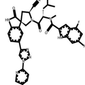 CC(C)C[C@@H](C(=O)N1C[C@]2(C[C@H]1C#N)C(=O)Nc1ccc(-c3cn(-c4ccccn4)nn3)cc12)N(C)C(=O)c1cc2c(F)cc(F)cc2[nH]1